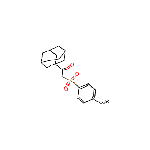 CC(=O)Nc1ccc(S(=O)(=O)CC(=O)C23CC4CC(CC(C4)C2)C3)cc1